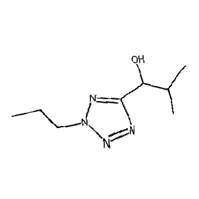 CCCn1nnc(C(O)C(C)C)n1